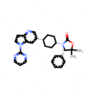 CC1(C)OC(=O)N([C@H]2CC[C@@H](c3cnc4ccn(-c5ncccn5)c4c3)CC2)[C@H]1c1ccccc1